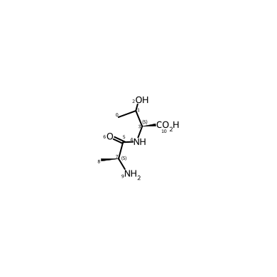 CC(O)[C@H](NC(=O)[C@H](C)N)C(=O)O